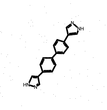 c1cc(-c2cn[nH]c2)ccc1-c1ccc(-c2cn[nH]c2)cc1